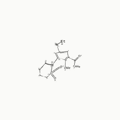 CCNc1cc(C(=O)OC)c(OC)c(N2CCCCS2(=O)=O)c1